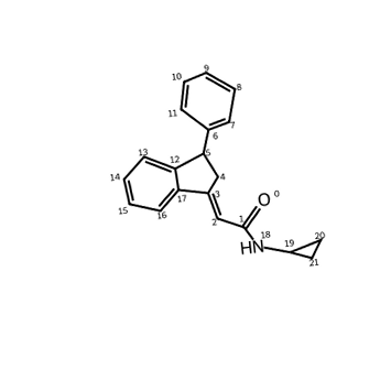 O=C(/C=C1\CC(c2ccccc2)c2ccccc21)NC1CC1